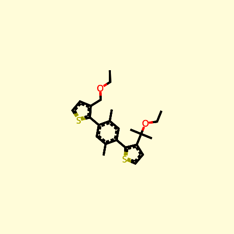 CCOCc1ccsc1-c1cc(C)c(-c2sccc2C(C)(C)OCC)cc1C